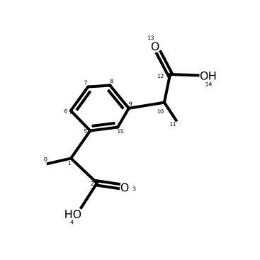 CC(C(=O)O)c1[c]ccc(C(C)C(=O)O)c1